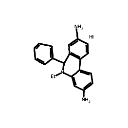 CCN1c2cc(N)ccc2-c2ccc(N)cc2C1c1ccccc1.I